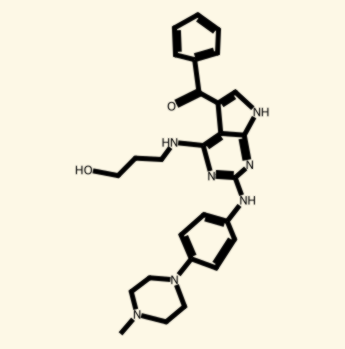 CN1CCN(c2ccc(Nc3nc(NCCCO)c4c(C(=O)c5ccccc5)c[nH]c4n3)cc2)CC1